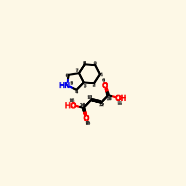 C1CCC2CNCC2C1.O=C(O)/C=C/C(=O)O